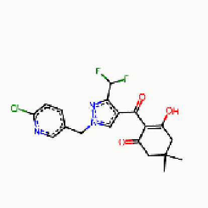 CC1(C)CC(=O)C(C(=O)c2cn(Cc3ccc(Cl)nc3)nc2C(F)F)=C(O)C1